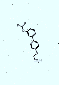 O=C(O)COc1ccc(-c2cc[c]c(OC(F)F)c2)cc1